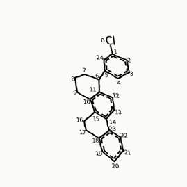 Clc1cccc(C2CCCc3c2ccc2c3CCc3ccccc3-2)c1